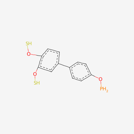 POc1ccc(-c2ccc(OS)c(OS)c2)cc1